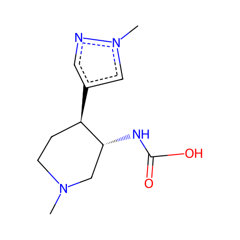 CN1CC[C@@H](c2cnn(C)c2)[C@H](NC(=O)O)C1